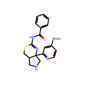 CC(=O)Nc1ccnc(C23CNCC2CSC(NC(=O)c2ccccc2)=N3)c1